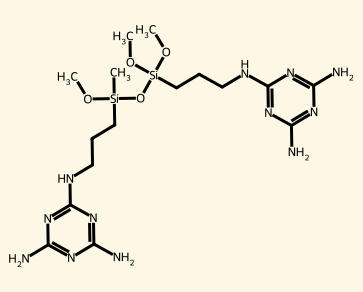 CO[Si](C)(CCCNc1nc(N)nc(N)n1)O[Si](CCCNc1nc(N)nc(N)n1)(OC)OC